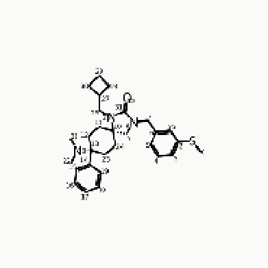 CSc1cccc(CN2C[C@]3(CC[C@@](c4ccccc4)(N(C)C)CC3)N(CC3CCC3)C2=O)c1